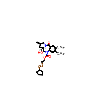 C=C1C[C@H]2C(O)N(C(=O)OCCSSC3CCCC3)c3cc(OC)c(OC)cc3C(=O)N2C1